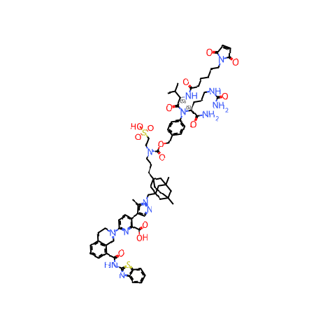 Cc1c(-c2ccc(N3CCc4cccc(C(=O)Nc5nc6ccccc6s5)c4C3)nc2C(=O)O)cnn1CC12CC3(C)CC(C)(CC(CCCN(CCS(=O)(=O)O)C(=O)OCc4ccc(N(C(=O)[C@@H](NC(=O)CCCCCN5C(=O)C=CC5=O)C(C)C)[C@@H](CCCNC(N)=O)C(N)=O)cc4)(C3)C1)C2